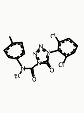 CCN(C(=O)n1nnn(-c2c(Cl)cccc2Cl)c1=O)c1ccc(C)cc1